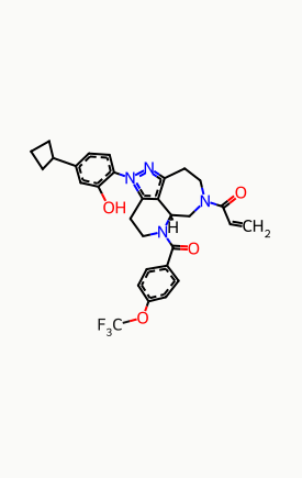 C=CC(=O)N1CCc2nn(-c3ccc(C4CCC4)cc3O)c3c2[C@H](C1)N(C(=O)c1ccc(OC(F)(F)F)cc1)CC3